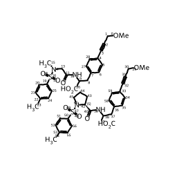 COCC#Cc1ccc(CC(NC(=O)CN(C)S(=O)(=O)c2ccc(C)cc2)C(=O)O)cc1.COCC#Cc1ccc(CC(NC(=O)[C@@H]2CCCN2S(=O)(=O)c2ccc(C)cc2)C(=O)O)cc1